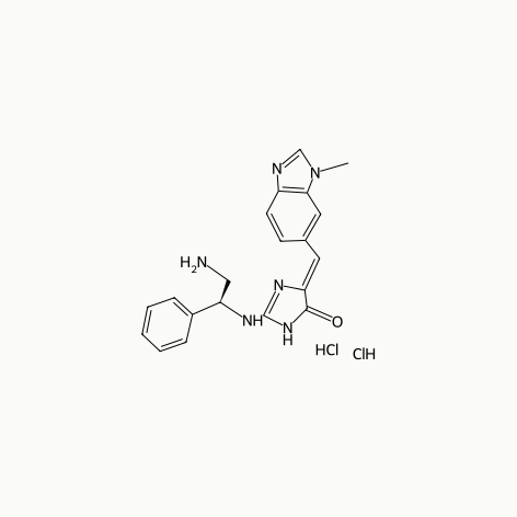 Cl.Cl.Cn1cnc2ccc(/C=C3\N=C(N[C@H](CN)c4ccccc4)NC3=O)cc21